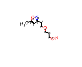 Cc1cc(CCOCCCO)no1